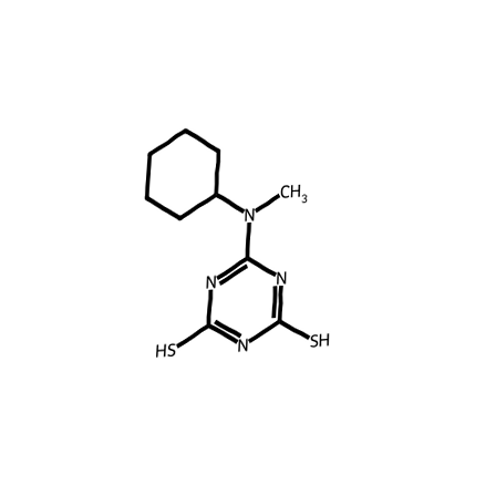 CN(c1nc(S)nc(S)n1)C1CCCCC1